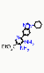 CCOC(=O)c1cnc(-c2ccc3c(c2)ncn3C2CCCCC2)c(N)c1N